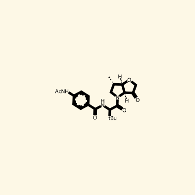 CC(=O)Nc1ccc(C(=O)NC(C(=O)N2C[C@H](C)[C@H]3OCC(=O)[C@H]32)C(C)(C)C)cc1